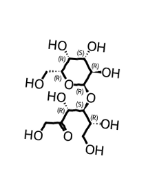 O=C(CO)[C@H](O)[C@@H](O[C@H]1O[C@H](CO)[C@H](O)[C@H](O)[C@H]1O)[C@H](O)CO